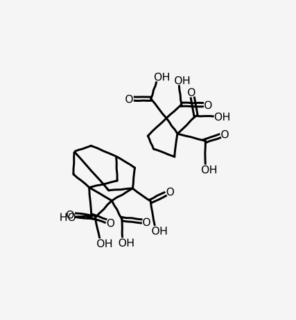 O=C(O)C1(C(=O)O)CCCC1(C(=O)O)C(=O)O.O=C(O)C12CC3CC(C1)CC(C(=O)O)(C3)C2(C(=O)O)C(=O)O